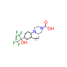 C/C=C\c1cc(C(O)(C(F)(F)F)C(F)(F)F)ccc1N1CCN(C(=O)O)CC1